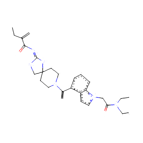 C=C(CC)C(=O)/N=C1\NCC2(CCN(C(=C)c3cccc4c3ccn4CC(=O)N(CC)CC)CC2)N1